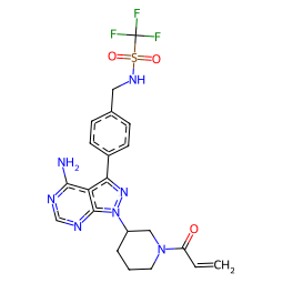 C=CC(=O)N1CCCC(n2nc(-c3ccc(CNS(=O)(=O)C(F)(F)F)cc3)c3c(N)ncnc32)C1